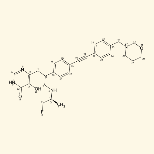 C[C@@H](CF)NCC(Cc1nc[nH]c(=O)c1O)c1ccc(C#Cc2ccc(CN3CCCOC3)cc2)cc1